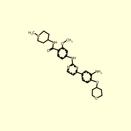 COc1cc(Nc2nccc(-c3ccc(OC4CCOCC4)c(N)c3)n2)ccc1C(=O)NC1CCN(C)CC1